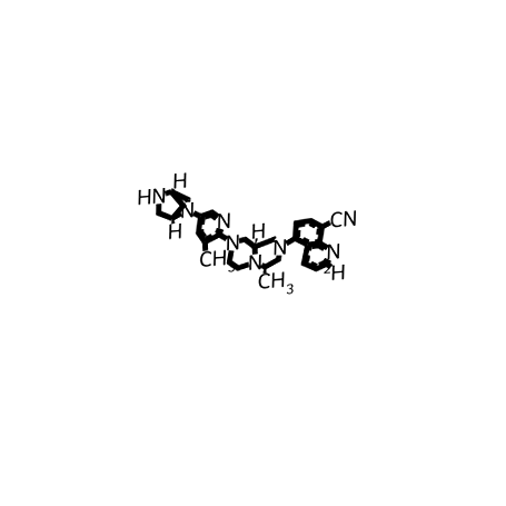 [2H]c1ccc2c(N3C[C@@H]4CN(c5ncc(N6C[C@@H]7C[C@H]6CN7)cc5C)CCN4[C@H](C)C3)ccc(C#N)c2n1